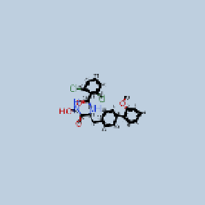 COc1ccccc1-c1ccc(C[C@H](NC(=O)c2c(Cl)cccc2Cl)C(=O)NO)cc1